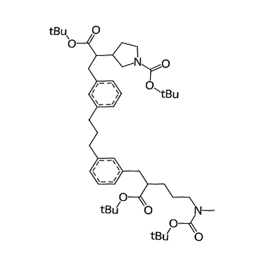 CN(CCCC(Cc1cccc(CCCc2cccc(CC(C(=O)OC(C)(C)C)C3CCN(C(=O)OC(C)(C)C)C3)c2)c1)C(=O)OC(C)(C)C)C(=O)OC(C)(C)C